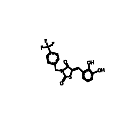 O=C1S/C(=C\c2cccc(O)c2O)C(=O)N1Cc1ccc(C(F)(F)F)cc1